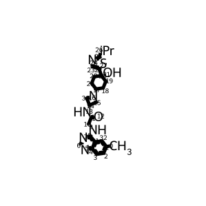 Cc1ccc2ncnc(NCC(=O)NC3CN(C4CCC(O)(c5cnc(C(C)C)s5)CC4)C3)c2c1